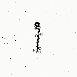 O=C(CCCCCCC(=O)NCCc1nc2ccccc2[nH]1)NO